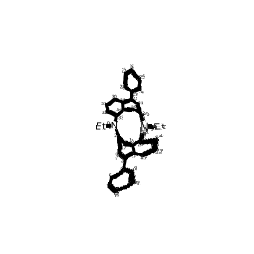 CCn1c2cc(-c3ccccc3)c3cccc(c3c2)n(CC)c2cc(-c3ccccc3)c3cccc1c3c2